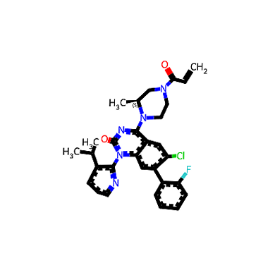 C=CC(=O)N1CCN(c2nc(=O)n(-c3ncccc3C(C)C)c3cc(-c4ccccc4F)c(Cl)cc23)[C@@H](C)C1